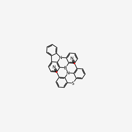 N#Cc1cccc2c1N(B1c3ccccc3-n3c4ccccc4c4cccc1c43)c1c(C#N)cccc1S2